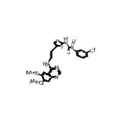 COc1cc2ncnc(NCCc3cnc(NC(=O)Nc4cccc(Cl)c4)s3)c2cc1OC